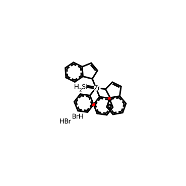 Br.Br.[SiH2]=[Zr]([c]1ccccc1)([c]1ccccc1)([CH]1C=Cc2ccccc21)[CH]1C=Cc2ccccc21